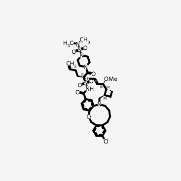 C=CCC[C@@H](C(=O)N1CCN(S(=O)(=O)N(C)C)CC1)S(=O)(=O)NC(=O)c1ccc2c(c1)N(C[C@@H]1CC[C@H]1[C@H](/C=C/CC)OC)CCCCc1cc(Cl)ccc1CO2